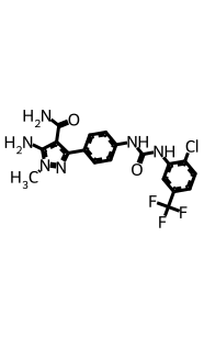 Cn1nc(-c2ccc(NC(=O)Nc3cc(C(F)(F)F)ccc3Cl)cc2)c(C(N)=O)c1N